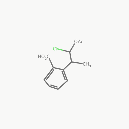 CC(=O)OC(Cl)C(C)c1ccccc1C(=O)O